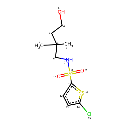 CC(C)(CCO)CNS(=O)(=O)c1ccc(Cl)s1